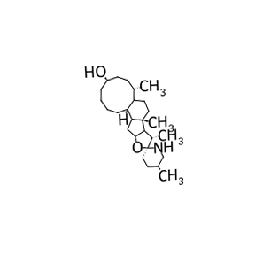 C[C@H]1CC[C@]2(NC1)OC1CC3[C@@H]4CCCC[C@@H](O)CC[C@H](C)C4CC[C@]3(C)C1[C@@H]2C